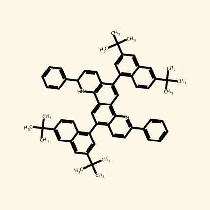 CC(C)(C)c1ccc2c(-c3cc4c(cc(-c5cc(C(C)(C)C)cc6cc(C(C)(C)C)ccc56)c5ccc(-c6ccccc6)nc54)c4c3C=CC(c3ccccc3)N4)cc(C(C)(C)C)cc2c1